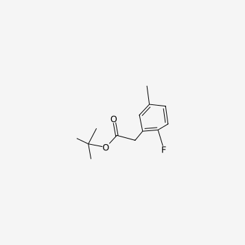 Cc1ccc(F)c(CC(=O)OC(C)(C)C)c1